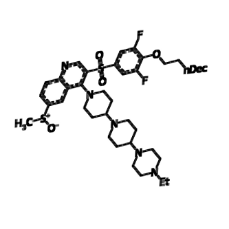 CCCCCCCCCCCCOc1c(F)cc(S(=O)(=O)c2cnc3ccc([S+](C)[O-])cc3c2N2CCC(N3CCC(N4CCN(CC)CC4)CC3)CC2)cc1F